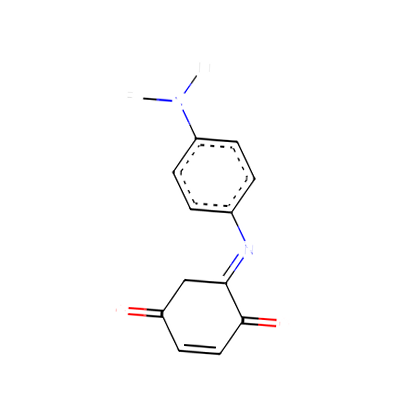 CCN(CC)c1ccc(N=C2CC(=O)C=CC2=O)cc1